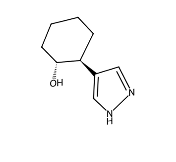 O[C@@H]1CCCC[C@H]1c1cn[nH]c1